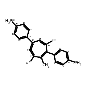 CC1=C(c2ccc(P)cc2)C(F)=CC(c2ccc(P)cc2)=C=C1F